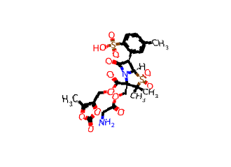 Cc1ccc(S(=O)(=O)O)c([C@@H]2C(=O)N3[C@@H]2S(=O)(=O)C(C)(C)[C@]3(COC(=O)CN)C(=O)OCc2oc(=O)oc2C)c1